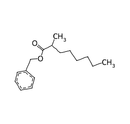 CCCCCCC(C)C(=O)OCc1ccccc1